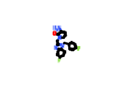 Nc1cccn(Cc2nc3cc(F)ccc3n2Cc2ccc(F)cc2)c1=O